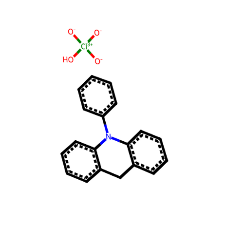 [O-][Cl+3]([O-])([O-])O.c1ccc(N2c3ccccc3Cc3ccccc32)cc1